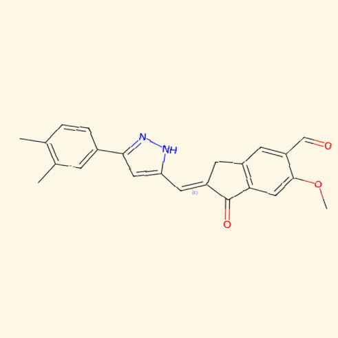 COc1cc2c(cc1C=O)C/C(=C\c1cc(-c3ccc(C)c(C)c3)n[nH]1)C2=O